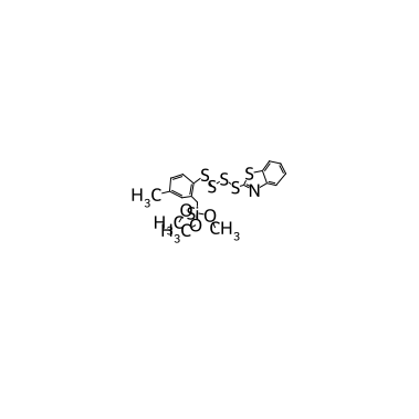 CO[Si](Cc1cc(C)ccc1SSSSc1nc2ccccc2s1)(OC)OC